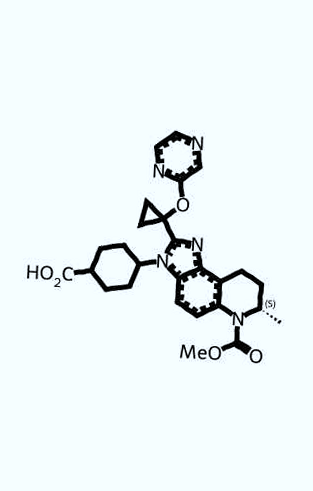 COC(=O)N1c2ccc3c(nc(C4(Oc5cnccn5)CC4)n3C3CCC(C(=O)O)CC3)c2CC[C@@H]1C